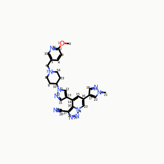 COc1ccc(CN2CCC(n3cc(-c4cc(-c5cnn(C)c5)cn5nnc(C#N)c45)cn3)CC2)cn1